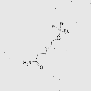 CCC(CC)(CC)OCCOCCC(N)=O